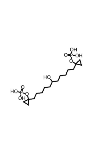 O=P(O)(O)OC1(CCCCCC(O)CCCCCC2(OP(=O)(O)O)CC2)CC1